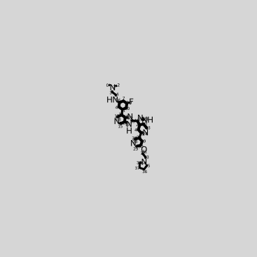 CN(C)CCNc1cc(F)cc(-c2cncc3[nH]c(-c4n[nH]c5cnc(-c6cncc(OCCN7CCCC7)c6)cc45)nc23)c1